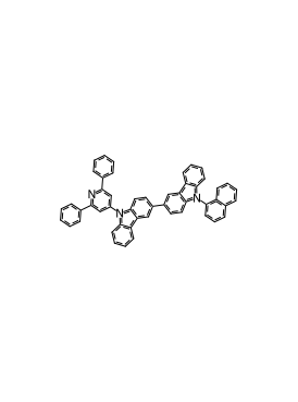 c1ccc(-c2cc(-n3c4ccccc4c4cc(-c5ccc6c(c5)c5ccccc5n6-c5cccc6ccccc56)ccc43)cc(-c3ccccc3)n2)cc1